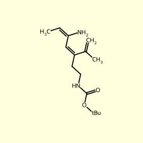 C=C(C)/C(=C\C(N)=C/C)CCNC(=O)OC(C)(C)C